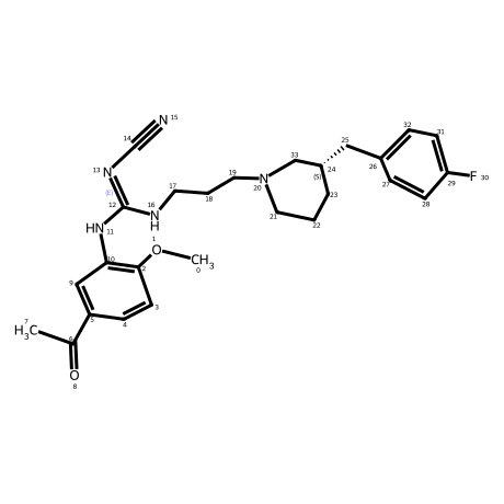 COc1ccc(C(C)=O)cc1N/C(=N/C#N)NCCCN1CCC[C@@H](Cc2ccc(F)cc2)C1